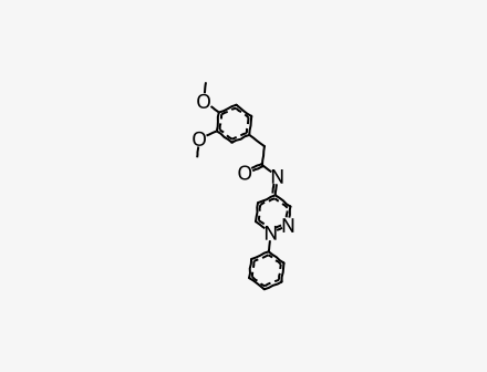 COc1ccc(CC(=O)N=c2ccn(-c3ccccc3)nc2)cc1OC